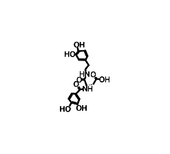 O=C(O)C[C@H](NC(=O)c1ccc(O)c(O)c1)C(=O)NCCc1ccc(O)c(O)c1